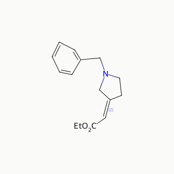 CCOC(=O)/C=C1/CCN(Cc2ccccc2)C1